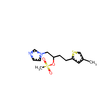 Cc1csc(CCC(Cn2ccnc2)OS(C)(=O)=O)c1